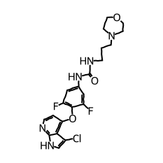 O=C(NCCCN1CCOCC1)Nc1cc(F)c(Oc2ccnc3[nH]cc(Cl)c23)c(F)c1